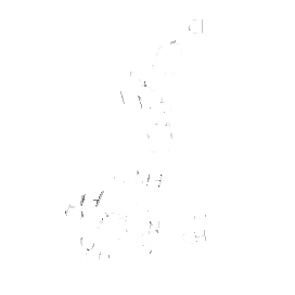 CCC(CC)n1cc(C(=O)NCc2cccc(NS(=O)(=O)c3ccc(Cl)cc3)c2)c2cc(OC)c(OC)cc2c1=O